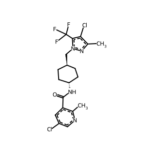 Cc1ncc(Cl)cc1C(=O)N[C@H]1CC[C@H](Cn2nc(C)c(Cl)c2C(F)(F)F)CC1